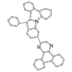 c1ccc(-c2c3ccc(-c4cnc5c6ccccc6c6ccccc6c5n4)cc3n3c4ccccc4c4ccccc4c23)cc1